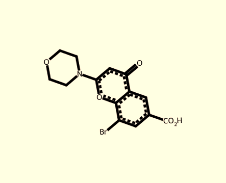 O=C(O)c1cc(Br)c2oc(N3CCOCC3)cc(=O)c2c1